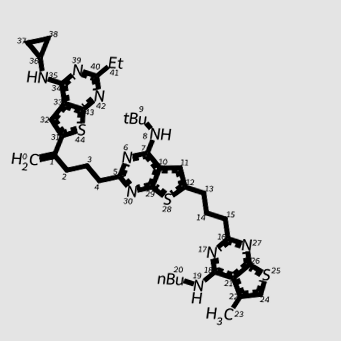 C=C(CCCc1nc(NC(C)(C)C)c2cc(CCCc3nc(NCCCC)c4c(C)csc4n3)sc2n1)c1cc2c(NC3CC3)nc(CC)nc2s1